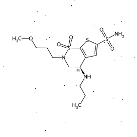 CCCN[C@H]1CN(CCCOC)S(=O)(=O)c2sc(S(N)(=O)=O)cc21